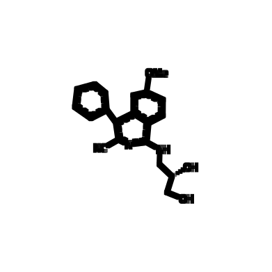 COc1ccc2c(NC[C@H](O)CO)nc(C#N)c(-c3ccccc3)c2c1